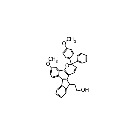 COc1ccc(C2(c3ccccc3)C=Cc3c4c(c5ccc(OC)cc5c3O2)-c2ccccc2C4CCO)cc1